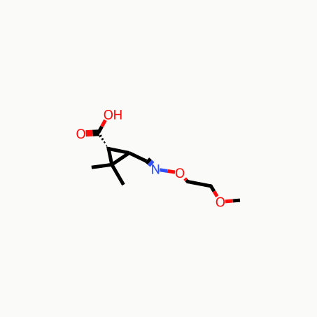 COCCO/N=C/C1[C@@H](C(=O)O)C1(C)C